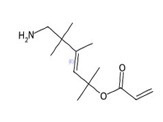 C=CC(=O)OC(C)(C)/C=C(\C)C(C)(C)CN